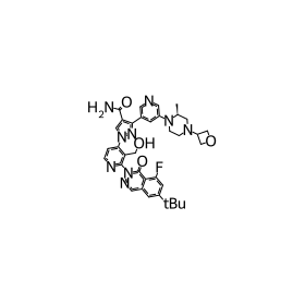 C[C@H]1CN(C2COC2)CCN1c1cncc(-c2nn(-c3ccnc(-n4ncc5cc(C(C)(C)C)cc(F)c5c4=O)c3CO)cc2C(N)=O)c1